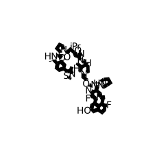 C#Cc1c(F)ccc2cc(O)cc(-c3ncc4c(N5CC6CCC(C5)N6)nc(OCCN5CC[C@H]6CN(c7cc([C@H](C(=O)N8CCC[C@H]8C(=O)N[C@@H](C)c8ccc(-c9scnc9C)cc8)C(C)C)on7)C[C@H]6C5)nc4c3F)c12